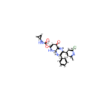 Cc1cc(-c2nc3c(=O)cc(OC(=O)NC4CC4)[nH]c3nc2-c2ccccc2)cc(Cl)n1